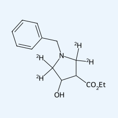 [2H]C1([2H])C(O)C(C(=O)OCC)C([2H])([2H])N1Cc1ccccc1